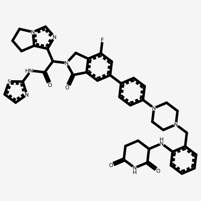 O=C1CCC(Nc2ccccc2CN2CCN(c3ccc(-c4cc(F)c5c(c4)C(=O)N(C(C(=O)Nc4nccs4)c4ncn6c4CCC6)C5)cc3)CC2)C(=O)N1